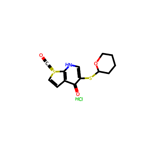 Cl.O=C=S1C=Cc2c1[nH]cc(SC1CCCCO1)c2=O